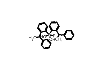 CC(c1ccccc1)c1ccccc1P(O)(O)(F)c1ccccc1C(C)c1ccccc1